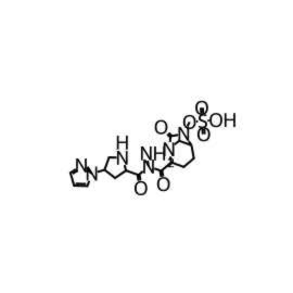 NN(C(=O)C1CC(n2cccn2)CN1)C(=O)C1CCC2CN1C(=O)N2OS(=O)(=O)O